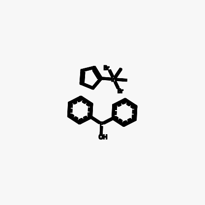 OP(c1ccccc1)c1ccccc1.[CH3][Ir]([CH3])([Br])([Br])[C]1=CC=CC1